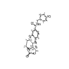 O=C(NCc1ccc(Cl)cc1)c1cc(O[C@H]2CCN3C(=O)OC[C@@H]3C2)c(Br)cn1